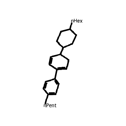 CCCCCCC1CCC(C2C=CC(c3ccc(CCCCC)cc3)=CC2)CC1